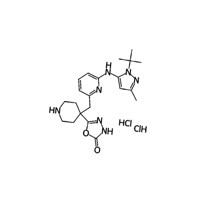 Cc1cc(Nc2cccc(CC3(c4n[nH]c(=O)o4)CCNCC3)n2)n(C(C)(C)C)n1.Cl.Cl